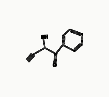 C#CC(O)C(=O)c1ccccc1